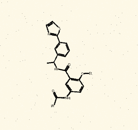 CCOc1ccc(NC(=O)C(C)C)cc1C(=O)NC(C)c1cccc(-c2nccs2)c1